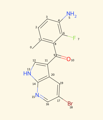 Cc1ccc(N)c(F)c1C(=O)c1c[nH]c2ncc(Br)cc12